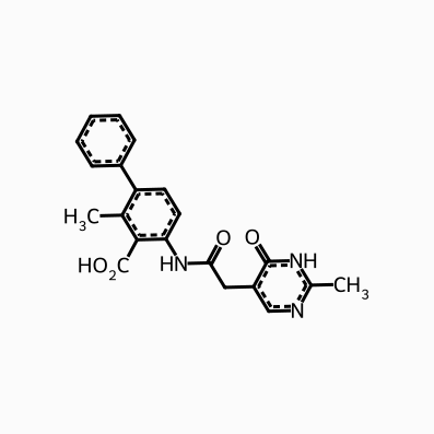 Cc1ncc(CC(=O)Nc2ccc(-c3ccccc3)c(C)c2C(=O)O)c(=O)[nH]1